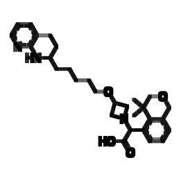 CC1(C)COCc2cccc(C(C(=O)O)N3CC(OCCCCCC4CCc5cccnc5N4)C3)c21